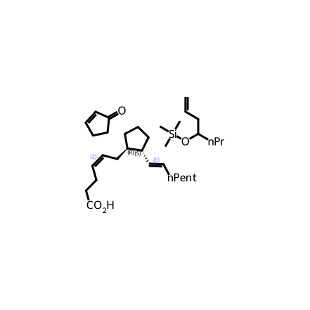 C=CCC(CCC)O[Si](C)(C)C.CCCCC/C=C/[C@H]1CCC[C@@H]1C/C=C\CCC(=O)O.O=C1C=CCC1